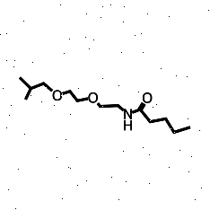 CCCCC(=O)NCCOCCOCC(C)C